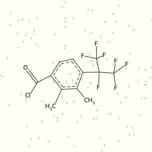 Cc1c(C(=O)Cl)ccc(C(F)(C(F)(F)F)C(F)(F)F)c1C